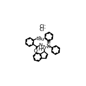 CC(C)(C)c1ccccc1C(=O)[NH][Zr+2]([CH]1C=Cc2ccccc21)[SiH](c1ccccc1)c1ccccc1.[Cl-].[Cl-]